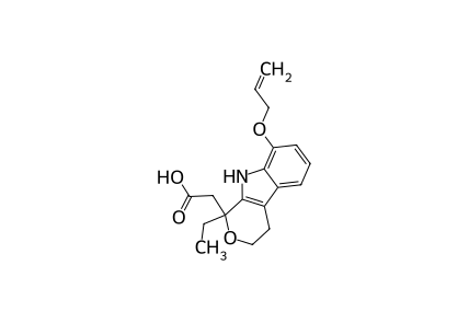 C=CCOc1cccc2c3c([nH]c12)C(CC)(CC(=O)O)OCC3